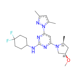 CO[C@@H]1C[C@H](C)N(c2cc(-n3nc(C)cc3C)nc(NC3CCC(F)(F)CC3)n2)C1